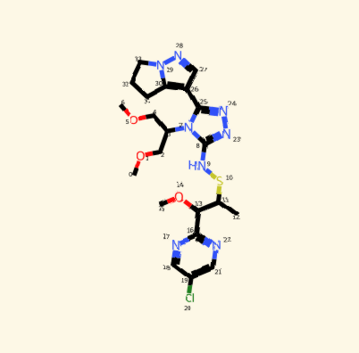 COCC(COC)n1c(NSC(C)C(OC)c2ncc(Cl)cn2)nnc1-c1cnn2c1CCC2